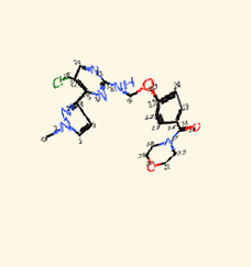 Cn1ccc(-c2nc(NCOc3ccc(C(=O)N4CCOCC4)cc3)ncc2Cl)n1